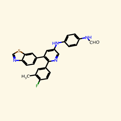 Cc1cc(-c2ncc(Nc3ccc(NC=O)cc3)cc2-c2ccc3ncsc3c2)ccc1F